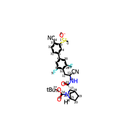 C[S+]([O-])c1cc(-c2cc(F)c(CC(C#N)NC(=O)[C@@H]3C4CC[C@H](C4)N3C(=O)OC(C)(C)C)c(F)c2)ccc1C#N